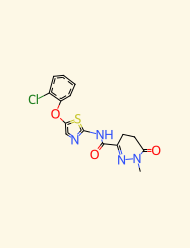 CN1N=C(C(=O)Nc2ncc(Oc3ccccc3Cl)s2)CCC1=O